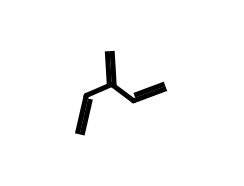 C=CC(=C)C=C